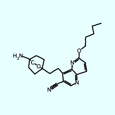 CCCCCOc1ccc2ncc(C#N)c(CCC34CCC(N)(CC3)CO4)c2n1